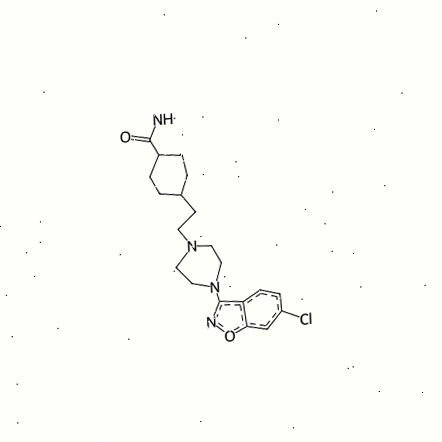 [NH]C(=O)C1CCC(CCN2CCN(c3noc4cc(Cl)ccc34)CC2)CC1